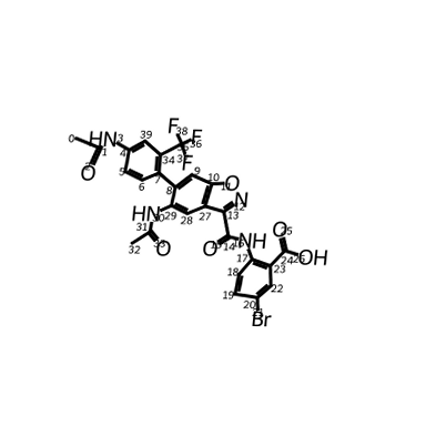 CC(=O)Nc1ccc(-c2cc3onc(C(=O)Nc4ccc(Br)cc4C(=O)O)c3cc2NC(C)=O)c(C(F)(F)F)c1